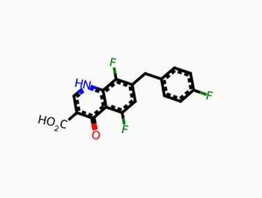 O=C(O)c1c[nH]c2c(F)c(Cc3ccc(F)cc3)cc(F)c2c1=O